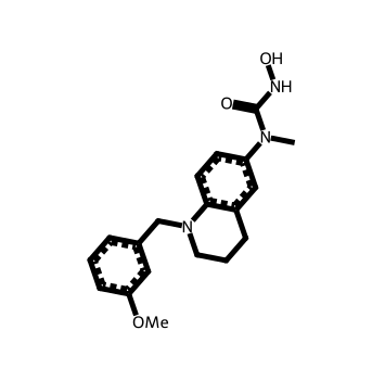 COc1cccc(CN2CCCc3cc(N(C)C(=O)NO)ccc32)c1